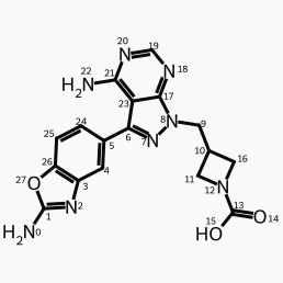 Nc1nc2cc(-c3nn(CC4CN(C(=O)O)C4)c4ncnc(N)c34)ccc2o1